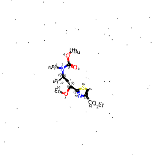 CCCN(C(=O)OC(C)(C)C)[C@@H](C[C@@H](OCC)c1nc(C(=O)OCC)cs1)C(C)C